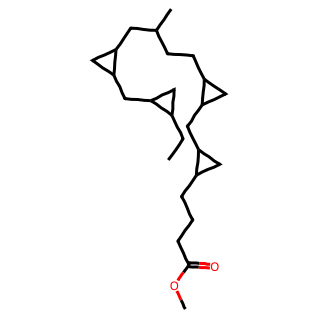 CCC1CC1CC1CC1CC(C)CCC1CC1CC1CC1CCCC(=O)OC